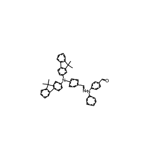 CC1(C)c2ccccc2-c2ccc(N(c3ccc(C=NN(c4ccccc4)c4ccc(C=O)cc4)cc3)c3ccc4c(c3)C(C)(C)c3ccccc3-4)cc21